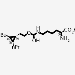 CCCC[C@@H]1[C@H](CCC)[C@H]1CCOC(O)NCCCC[C@H](N)C(=O)O